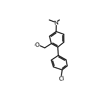 CN(C)c1ccc(-c2ccc(Cl)cc2)c(C[O])c1